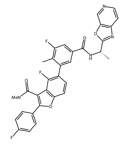 CNC(=O)c1c(-c2ccc(F)cc2)oc2ccc(-c3cc(C(=O)N[C@@H](C)c4nc5ccncc5o4)cc(F)c3C)c(F)c12